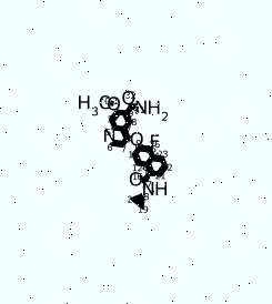 COc1cc2nccc(Oc3ccc4c(C(=O)NC5CC5)cccc4c3F)c2cc1C(N)=O